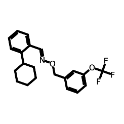 FC(F)(F)Oc1cccc(CON=[C]c2ccccc2C2CCCCC2)c1